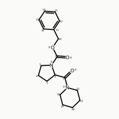 O=C(C1CCCN1C(=O)OCc1ccccc1)N1CCCCC1